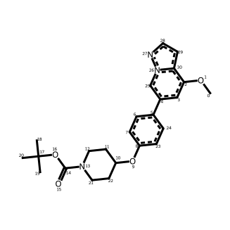 COc1cc(-c2ccc(OC3CCN(C(=O)OC(C)(C)C)CC3)cc2)cn2nccc12